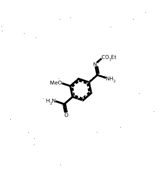 CCOC(=O)N=C(N)c1ccc(C(N)=O)c(OC)c1